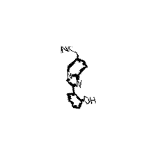 N#Cc1ccc2nc(-c3ccccc3O)cn2c1